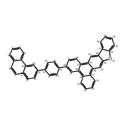 c1ccc2c(c1)ccc1ccc(-c3ccc(-c4ccc5c(c4)c4ccccc4c4cc6oc7ccccc7c6cc54)cc3)cc12